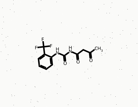 CC(=O)CC(=O)NC(=O)Nc1ccccc1C(F)(F)F